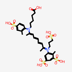 C\C(=C/C=C/C=C/C(C)=[N+](\CCCS(=O)(=O)O)c1cc(S(=O)(=O)O)cc(S(=O)(=O)O)c1C)N(CCCCCC(=O)O)c1ccc(S(=O)(=O)O)cc1C